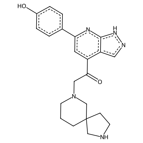 O=C(CN1CCCC2(CCNC2)C1)c1cc(-c2ccc(O)cc2)nc2[nH]ncc12